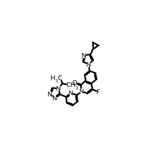 CC(C)n1cnnc1-c1cccc(-n2cc(F)c3ccc(-n4cnc(C5CC5)c4)cc3c2=O)n1